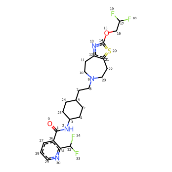 O=C(NC1CCC(CCN2CCc3nc(OCC(F)F)sc3CC2)CC1)c1cccnc1C(F)F